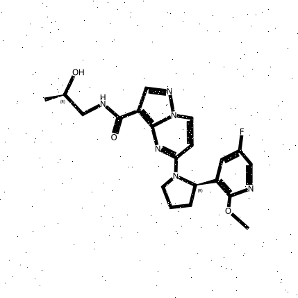 COc1ncc(F)cc1[C@H]1CCCN1c1ccn2ncc(C(=O)NC[C@@H](C)O)c2n1